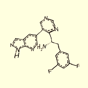 N[C@@H](Cc1cc(F)cc(F)c1)c1ncncc1-c1cnc2[nH]ncc2c1